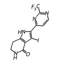 O=C1NCCc2[nH]c(-c3ccnc(C(F)(F)F)n3)c(I)c21